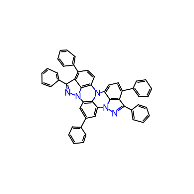 c1ccc(-c2cc3c4c(c2)n2nc(-c5ccccc5)c5c(-c6ccccc6)ccc(c52)n-4c2ccc(-c4ccccc4)c4c(-c5ccccc5)nn3c42)cc1